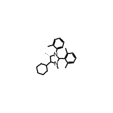 Cc1ccccc1N1C(c2c(C)cccc2C)N(C)C(C2CCCCC2)[C@@H]1C